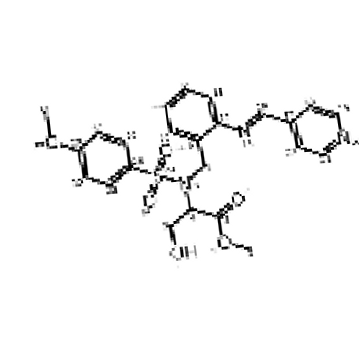 COC(=O)C(CO)N(Cc1ccccc1N=Cc1ccncc1)S(=O)(=O)c1ccc(OC)cc1